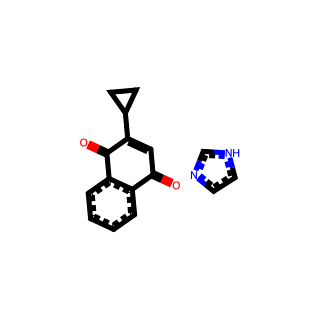 O=C1C=C(C2CC2)C(=O)c2ccccc21.c1c[nH]cn1